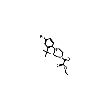 CCOC(=O)C(=O)N1CCN(c2ccc(Br)cc2C(C)(C)C)CC1